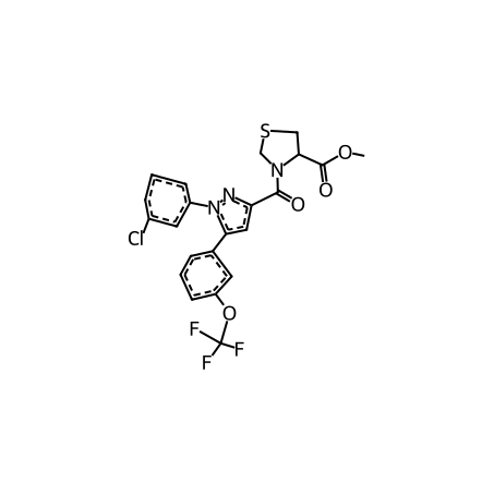 COC(=O)C1CSCN1C(=O)c1cc(-c2cccc(OC(F)(F)F)c2)n(-c2cccc(Cl)c2)n1